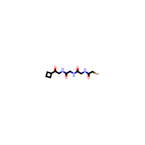 O=C(CS)NCC(=O)NCC(=O)NCC(=O)C1CCC1